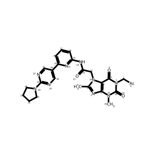 CC(=O)Cn1c(=O)c2c(nc(C)n2CC(=O)Nc2cccc(-c3cnc(N4CCCC4)nc3)n2)n(C)c1=O